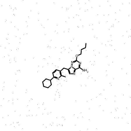 CCCCOc1nc(N)c2ncc(Cc3ccc(C4CCCCC4)nc3C)n2n1